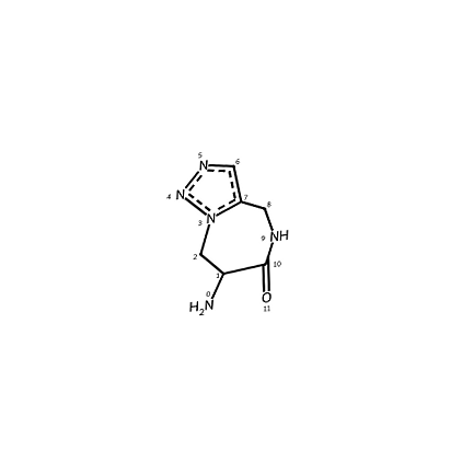 NC1Cn2nncc2CNC1=O